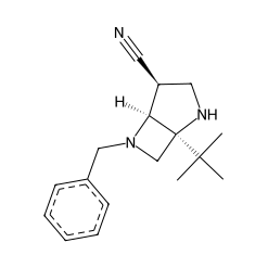 CC(C)(C)[C@]12CN(Cc3ccccc3)[C@H]1[C@@H](C#N)CN2